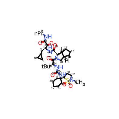 CCCNC(=O)C(=O)[C@H](CC1CC1)NC(=O)[C@@H]1[C@H]2CCC[C@H]2CN1C(=O)[C@@H](NC(=O)NC1([C@H]2CCN(C)S2(=O)=O)CCCCC1)C(C)(C)C